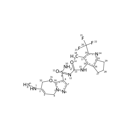 CNC1=CCn2ncc(S(N)(=O)=NC(=O)Nc3c(C)c(C(F)(F)F)nc4c3CCC4)c2OC1